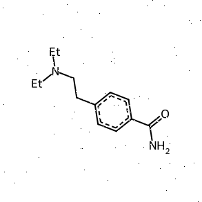 CCN(CC)CCc1ccc(C(N)=O)cc1